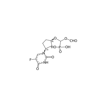 O=COC(O[C@@H]1CC[C@H](n2cc(F)c(=O)[nH]c2=O)C1)P(=O)(O)O